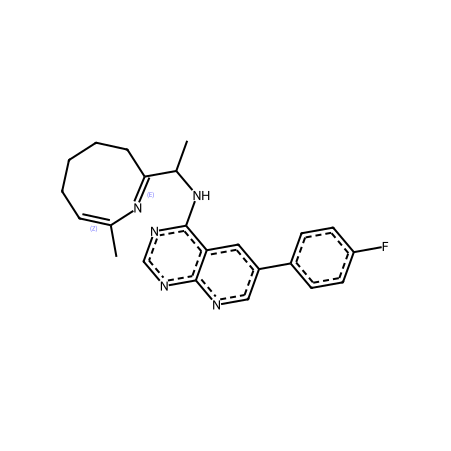 CC1=C/CCCC/C(C(C)Nc2ncnc3ncc(-c4ccc(F)cc4)cc23)=N\1